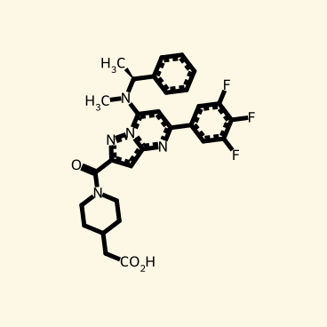 C[C@@H](c1ccccc1)N(C)c1cc(-c2cc(F)c(F)c(F)c2)nc2cc(C(=O)N3CCC(CC(=O)O)CC3)nn12